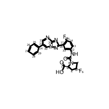 O=C(O)[C@@H]1C[C@@H](F)CN1C(=O)Nc1ccc(F)c(-c2nc3ncc(-c4ccccc4)cn3n2)c1